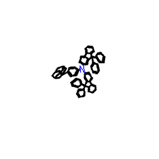 c1ccc(C2(c3ccccc3)c3ccccc3-c3ccc(N(c4ccc(C56CC7CC(CC(C7)C5)C6)cc4)c4ccc5c(c4)C(c4ccccc4)(c4ccccc4)c4ccccc4-5)cc32)cc1